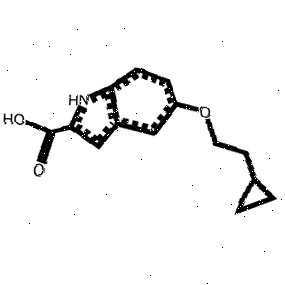 O=C(O)c1cc2cc(OCCC3CC3)ccc2[nH]1